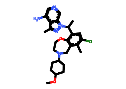 COC1CCC(N2CCOc3c(C(C)n4nc(C)c5c(N)cncc54)cc(Cl)c(C)c3C2)CC1